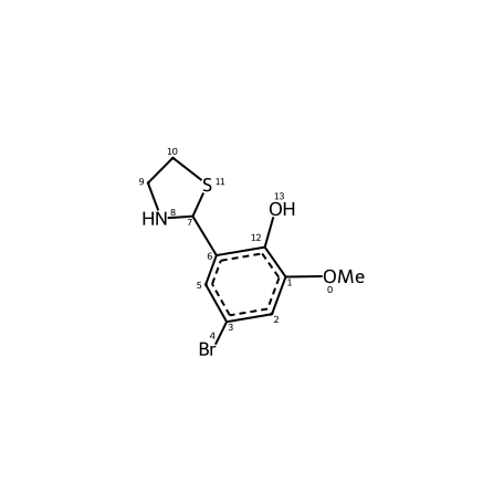 COc1cc(Br)cc(C2NCCS2)c1O